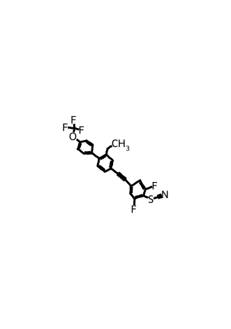 CCc1cc(C#Cc2cc(F)c(SC#N)c(F)c2)ccc1-c1ccc(OC(F)(F)F)cc1